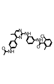 CC(=O)Nc1ccc(-c2nc(Nc3cccc(NC(=O)c4c(C)cccc4Cl)c3)ncc2C)cc1